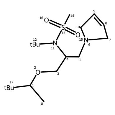 CC(OCC(CN1CC=CC1)N(C(C)(C)C)S(C)(=O)=O)C(C)(C)C